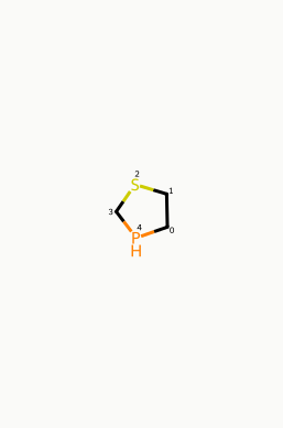 C1CSCP1